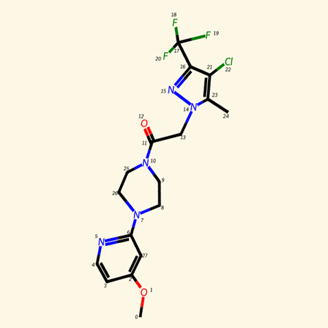 COc1ccnc(N2CCN(C(=O)Cn3nc(C(F)(F)F)c(Cl)c3C)CC2)c1